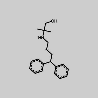 CC(C)(CO)NC[CH]CC(c1ccccc1)c1ccccc1